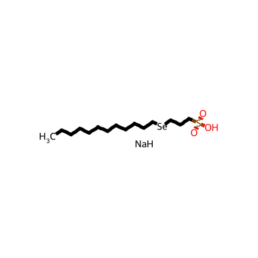 CCCCCCCCCCCC[Se]CCCS(=O)(=O)O.[NaH]